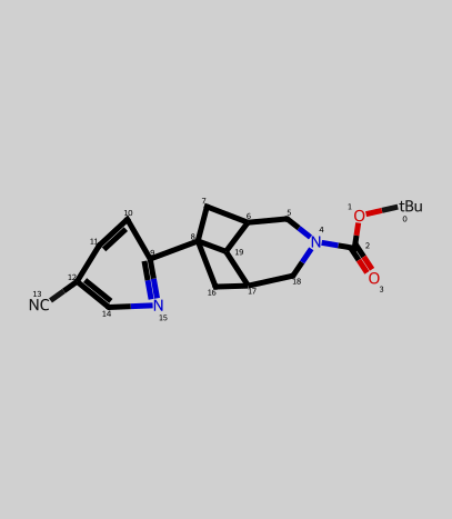 CC(C)(C)OC(=O)N1CC2CC3(c4ccc(C#N)cn4)CC(C1)C23